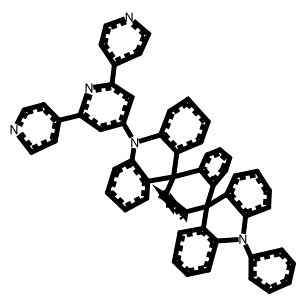 c1ccc(N2c3ccccc3C3(c4ccccc42)c2ccccc2C2(c4ccccc4N(c4cc(-c5ccncc5)nc(-c5ccncc5)c4)c4ccccc42)c2ccccc23)cc1